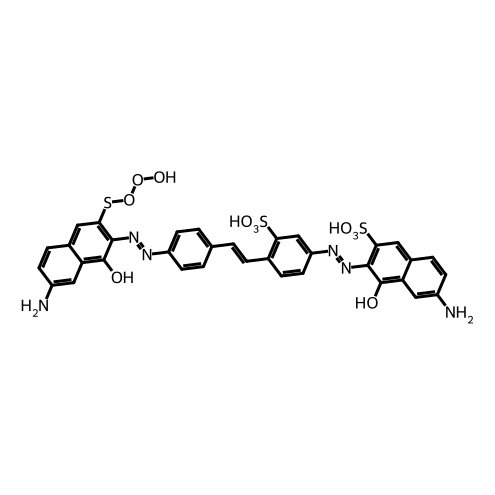 Nc1ccc2cc(SOOO)c(N=Nc3ccc(C=Cc4ccc(N=Nc5c(S(=O)(=O)O)cc6ccc(N)cc6c5O)cc4S(=O)(=O)O)cc3)c(O)c2c1